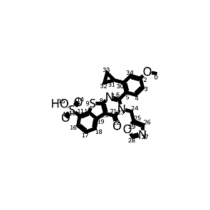 COc1ccc(-c2nc3sc4c(S(=O)(=O)O)cccc4c3c(=O)n2Cc2cnco2)c(C2CC2)c1